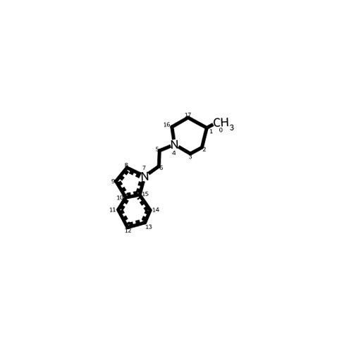 CC1CCN(CCn2ccc3ccccc32)CC1